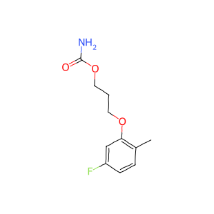 Cc1ccc(F)cc1OCCCOC(N)=O